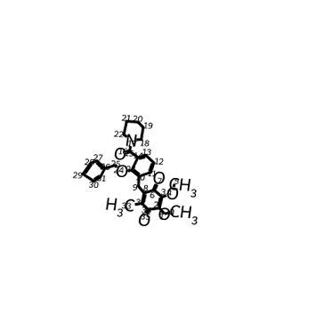 COC1=C(OC)C(=O)C(Cc2cccc(C(=O)N3CCCCC3)c2OCc2ccccc2)=C(C)C1=O